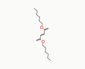 C=C(/C=C/C(=C)OCCCCCC)OCCCCCC